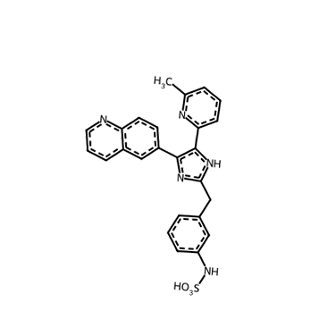 Cc1cccc(-c2[nH]c(Cc3cccc(NS(=O)(=O)O)c3)nc2-c2ccc3ncccc3c2)n1